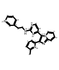 Cc1cccc(-c2nc3ccccn3c2-c2ccnc(NCCc3cccnc3)n2)n1